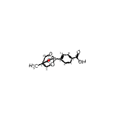 CC12CO[B-](c3ccc(C(=O)O)cc3)(OC1)OC2